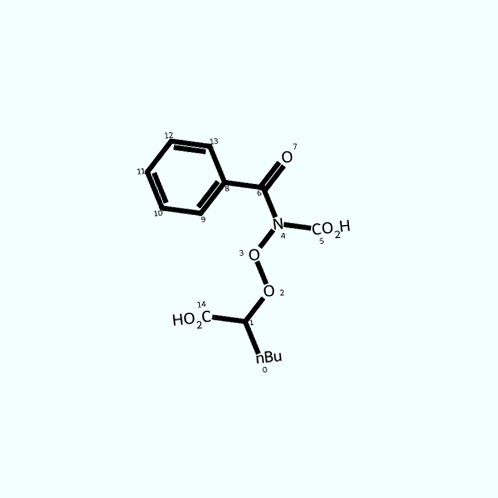 CCCCC(OON(C(=O)O)C(=O)c1ccccc1)C(=O)O